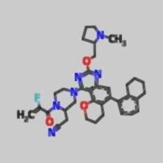 C=C(F)C(=O)N1CCN(c2nc(OCC3CCCN3C)nc3cc(-c4cccc5c4CCCC5)c4c(c23)OCCC4)CC1CC#N